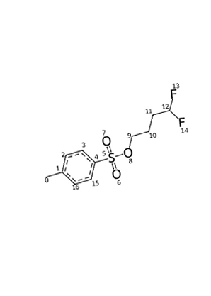 Cc1ccc(S(=O)(=O)OCCCC(F)F)cc1